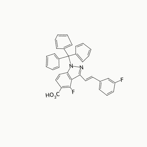 O=C(O)c1ccc2c(c(/C=C/c3cccc(F)c3)nn2C(c2ccccc2)(c2ccccc2)c2ccccc2)c1F